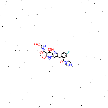 CN1CCN(C(=O)c2cc(F)ccc2Cc2cnc3c(O)c(C(=O)NCCO)c(=O)n(C)c3c2)CC1